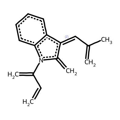 C=CC(=C)n1c(=C)/c(=C\C(=C)C)c2ccccc21